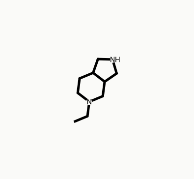 CCN1CCC2CNCC2C1